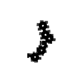 Fc1cc(-c2ccc(CNc3ncnc4cc(-c5ccccc5)ccc34)cn2)ccn1